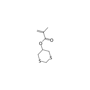 C=C(C)C(=O)OC1CSCSC1